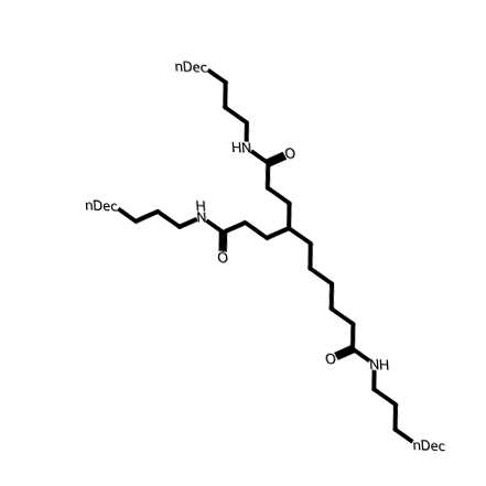 CCCCCCCCCCCCCNC(=O)CCCCCC(CCC(=O)NCCCCCCCCCCCCC)CCC(=O)NCCCCCCCCCCCCC